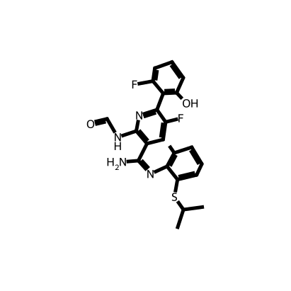 Cc1cccc(SC(C)C)c1/N=C(/N)c1cc(F)c(-c2c(O)cccc2F)nc1NC=O